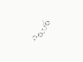 Cc1nccc(-c2ccc([C@H](C)N3CCC(CCCO)(c4ccc(F)cc4)OC3=O)cc2)n1